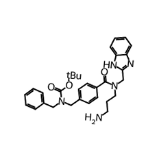 CC(C)(C)OC(=O)N(Cc1ccccc1)Cc1ccc(C(=O)N(CCCN)Cc2nc3ccccc3[nH]2)cc1